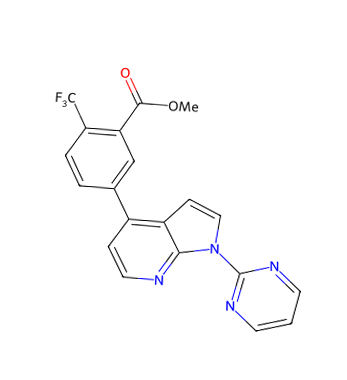 COC(=O)c1cc(-c2ccnc3c2ccn3-c2ncccn2)ccc1C(F)(F)F